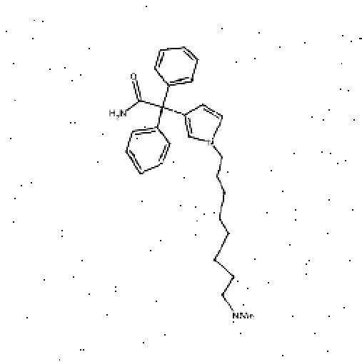 CNCCCCCCCCn1ccc(C(C(N)=O)(c2ccccc2)c2ccccc2)c1